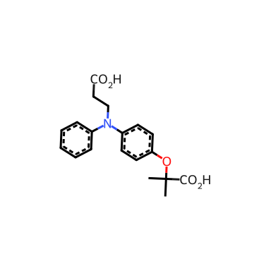 CC(C)(Oc1ccc(N(CCC(=O)O)c2ccccc2)cc1)C(=O)O